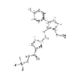 O=C(NCC(F)(F)F)c1cc(OCc2c(-c3ccc(F)cc3)noc2CO)no1